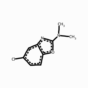 CN(C)c1nc2cc(Cl)ccc2o1